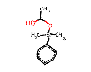 CC(O)O[Si](C)(C)c1ccccc1